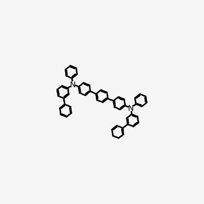 C1=CC(c2cccc(N(c3ccccc3)c3ccc(-c4ccc(-c5ccc(N(c6ccccc6)c6cccc(-c7ccccc7)c6)cc5)cc4)cc3)c2)=CCC1